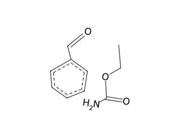 CCOC(N)=O.O=Cc1ccccc1